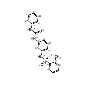 Cc1ccccc1S(=O)(=O)Nc1cccc(NC(=O)Nc2ccccc2)c1